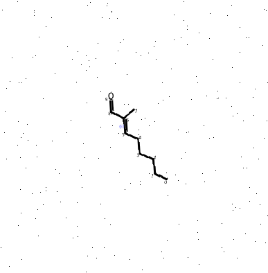 CCCCC/C=C(\C)[C]=O